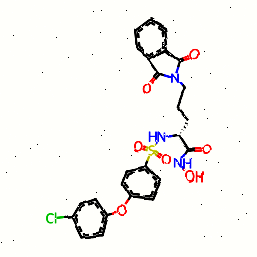 O=C(NO)[C@@H](CCCN1C(=O)c2ccccc2C1=O)NS(=O)(=O)c1ccc(Oc2ccc(Cl)cc2)cc1